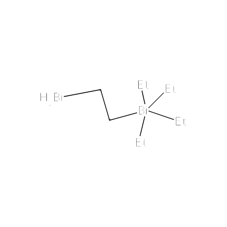 C[CH2][Bi]([CH2]C)([CH2]C)([CH2]C)[CH2][CH2][BiH2]